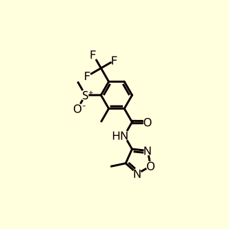 Cc1nonc1NC(=O)c1ccc(C(F)(F)F)c([S+](C)[O-])c1C